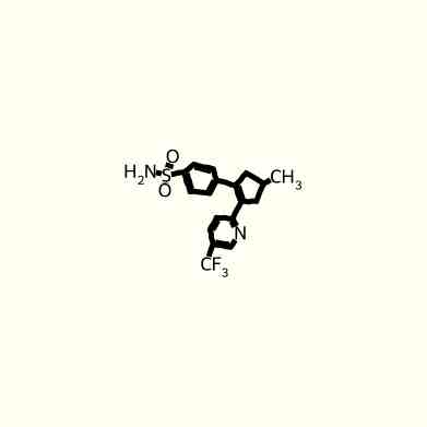 CC1CC(c2ccc(S(N)(=O)=O)cc2)=C(c2ccc(C(F)(F)F)cn2)C1